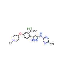 CCN1CCC(Oc2ccc(-c3cc(Nc4cnc(C#N)cn4)n[nH]3)c(OC)c2)CC1.Cl